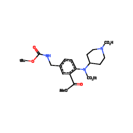 CCOC(=O)N(c1ccc(CNC(=O)OC(C)(C)C)cc1C(=O)OC)C1CCN(C(=O)O)CC1